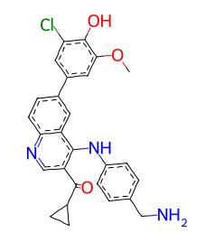 COc1cc(-c2ccc3ncc(C(=O)C4CC4)c(Nc4ccc(CN)cc4)c3c2)cc(Cl)c1O